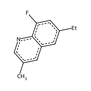 CCc1cc(F)c2ncc(C)cc2c1